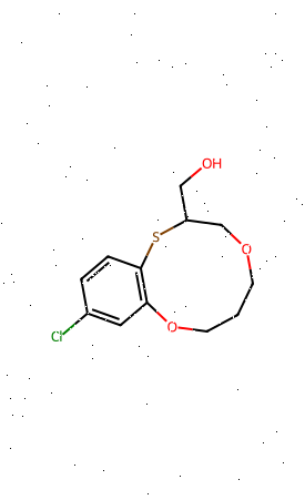 OCC1COCCCOc2cc(Cl)ccc2S1